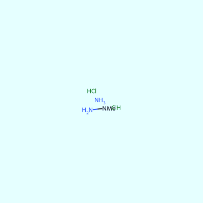 CNN.Cl.Cl.N